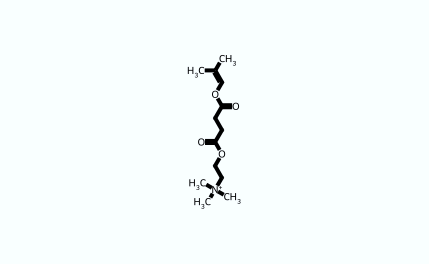 CC(C)=COC(=O)CCC(=O)OCC[N+](C)(C)C